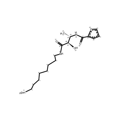 CCCCCCCCCCCCCCCCCCNC(=O)[C@H](O)[C@H](C)NC(=O)c1ccco1